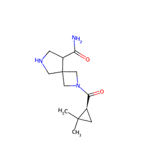 CC1(C)C[C@@H]1C(=O)N1CC2(CNCC2C(N)=O)C1